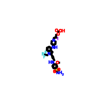 COc1cc(S(N)(=O)=O)ccc1NCC#Cc1cc2c(NC3CCN(C[C@H](I)COC(=O)O)CC3)cccc2n1CC(F)(F)F